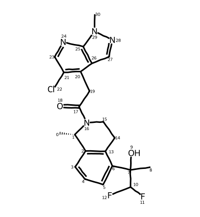 C[C@H]1c2cccc(C(C)(O)C(F)F)c2CCN1C(=O)Cc1c(Cl)cnc2c1cnn2C